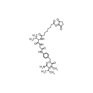 CC(C)C(NC(=O)CCCCCCC(=O)ON1C(=O)CCC1=O)C(=O)NCC(=O)Nc1ccc(COC(=O)N(C)[C@H](C(N)=O)C(C)C)cc1